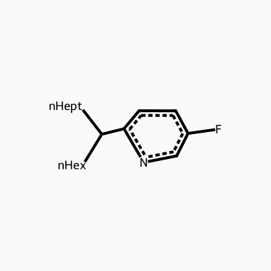 CCCCCCCC(CCCCCC)c1ccc(F)cn1